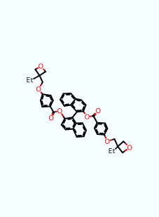 CCC1(COc2ccc(C(=O)Oc3ccc4ccccc4c3-c3c(OC(=O)c4ccc(OCC5(CC)COC5)cc4)ccc4ccccc34)cc2)COC1